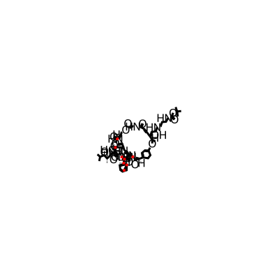 CC[C@H](C)[C@H]1NC(=O)[C@@H](NC(=O)[C@H](C)[C@H](O)C(C)C)[C@@H](C)OC(=O)[C@@H]2COC(=O)CNC(=O)/C=C/[C@](O)(CCNCCCNC(=O)OC(C)(C)C)[C@@H](C)OC3=CC=C(CC3)[C@H](NC1=O)C(=O)N(C)[C@@H](Cc1ccccc1)C(=O)N[C@H]([C@@H](C)O)C(=O)N2